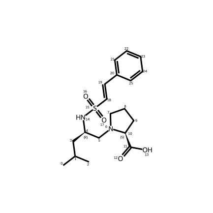 CC(C)C[C@H](CN1CCC[C@H]1C(=O)O)NS(=O)(=O)C=Cc1ccccc1